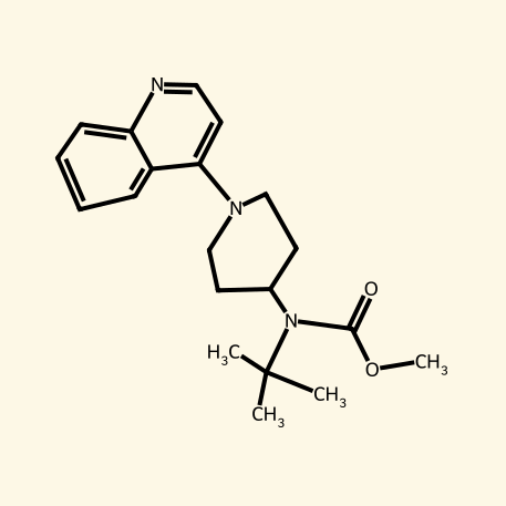 COC(=O)N(C1CCN(c2ccnc3ccccc23)CC1)C(C)(C)C